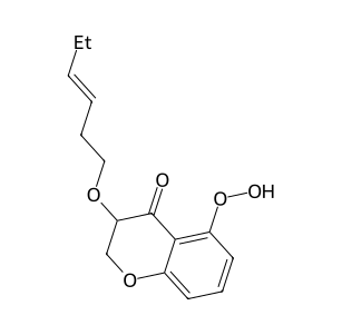 CCC=CCCOC1COc2cccc(OO)c2C1=O